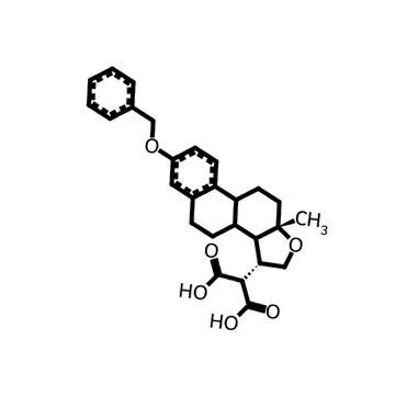 C[C@]12CCC3c4ccc(OCc5ccccc5)cc4CCC3C1[C@@H](C(C(=O)O)C(=O)O)CO2